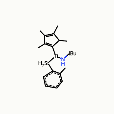 CCC(C)[NH][Ti]([SiH2]c1ccccc1C)[C]1=C(C)C(C)=C(C)C1C